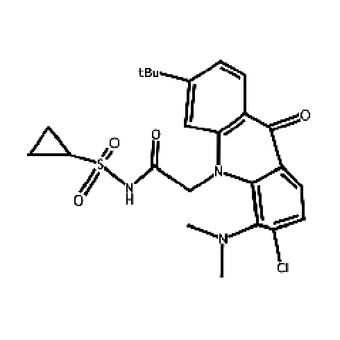 CN(C)c1c(Cl)ccc2c(=O)c3ccc(C(C)(C)C)cc3n(CC(=O)NS(=O)(=O)C3CC3)c12